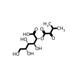 CC(C)C(=O)C(=O)O[C@@H](C(=O)O)[C@@H](O)[C@@H](O)[C@H](O)CO